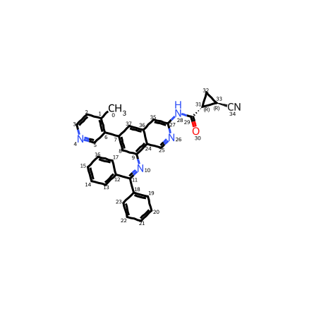 Cc1ccncc1-c1cc(N=C(c2ccccc2)c2ccccc2)c2cnc(NC(=O)[C@@H]3C[C@H]3C#N)cc2c1